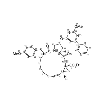 CCOC(=O)[C@@]12C[C@H]1/C=C\CCCCCN(Cc1ccc(OC)cc1)C(=O)N1C[C@H](Oc3cc(-c4ccccc4)nc(OC)n3)C[C@H]1C(=O)N2